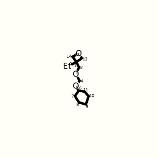 CCC1(COCOC2CCCCC2)COC1